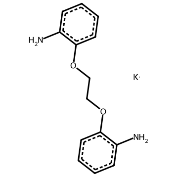 Nc1ccccc1OCCOc1ccccc1N.[K]